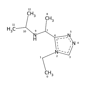 CCn1cnnc1C(C)NC(C)C